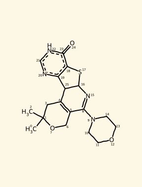 CC1(C)CC2=C(CO1)C(N1CCOCC1)=NC1Sc3c(nc[nH]c3=O)C21